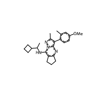 COc1ccc(-c2c(C)nn3c(NC(C)C4CCC4)c4c(nc23)CCC4)c(C)c1